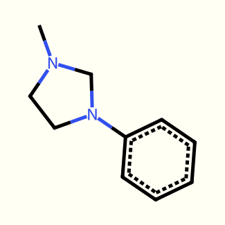 CN1CCN(c2ccccc2)C1